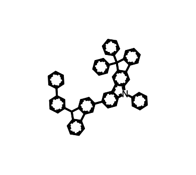 c1ccc(-c2cccc(C3c4ccccc4-c4cc(-c5ccc6c(c5)c5cc7c(cc5n6-c5ccccc5)-c5ccccc5C7(c5ccccc5)c5ccccc5)ccc43)c2)cc1